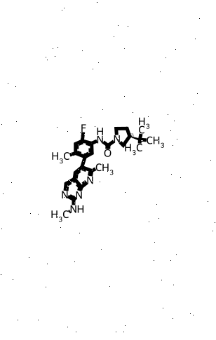 CNc1ncc2cc(-c3cc(NC(=O)N4CC[C@@H](C(C)(C)C)C4)c(F)cc3C)c(C)nc2n1